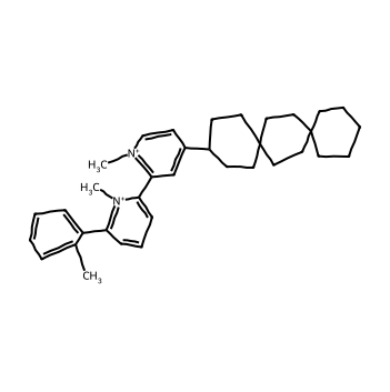 Cc1ccccc1-c1cccc(-c2cc(C3CCC4(CC3)CCC3(CCCCC3)CC4)cc[n+]2C)[n+]1C